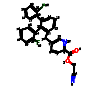 N#CCOC(=O)c1ccc(Cc2cccc(-c3ccccc3F)c2-c2ccccc2F)cn1